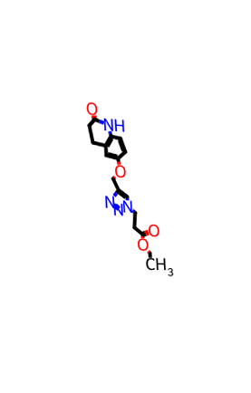 CCOC(=O)CCn1cc(COc2ccc3c(c2)CCC(=O)N3)nn1